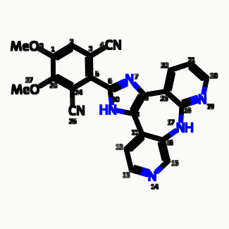 COc1cc(C#N)c(-c2nc3c([nH]2)-c2ccncc2Nc2ncccc2-3)c(C#N)c1OC